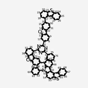 c1ccc(-c2nc(-c3ccc4c(c3)oc3cc(-c5cccc6sc7ccccc7c56)ccc34)nc(-c3cccc4oc5ccc(-c6cccc7c8c9c(ccc8n(-c8ccccc8)c67)sc6ccccc69)cc5c34)n2)cc1